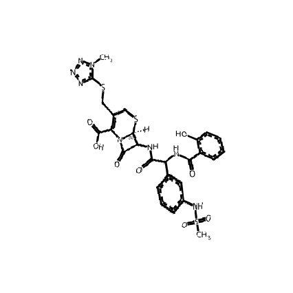 Cn1nnnc1SCC1=C(C(=O)O)N2C(=O)C(NC(=O)C(NC(=O)c3ccccc3O)c3cccc(NS(C)(=O)=O)c3)[C@@H]2SC1